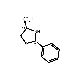 O=C(O)[C@@H]1CS[C@H](c2ccccc2)N1